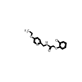 O=C(COc1ccccc1Cl)NCc1ccc(OCC(F)(F)F)cn1